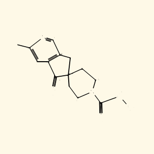 Cc1cc2c(cn1)CC1(CCN(C(=O)OC(C)(C)C)CC1)C2=O